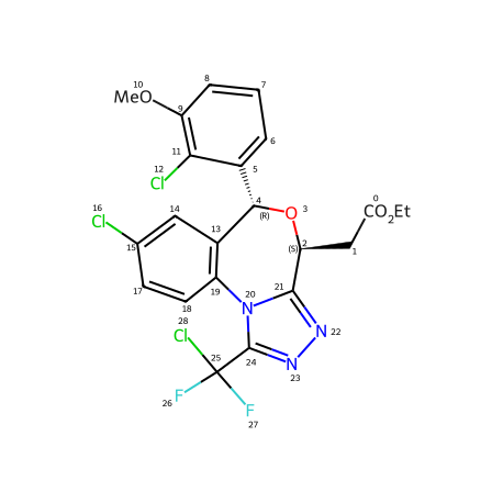 CCOC(=O)C[C@@H]1O[C@@H](c2cccc(OC)c2Cl)c2cc(Cl)ccc2-n2c1nnc2C(F)(F)Cl